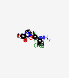 COc1ccc(CN(c2nccs2)S(=O)(=O)c2cc(Cl)c(N[C@H]3CC4[C@H](C[C@@H]3N)C4(Cl)Cl)cc2F)c(OC)c1